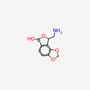 NCC1OB(O)c2ccc3c(c21)OCO3